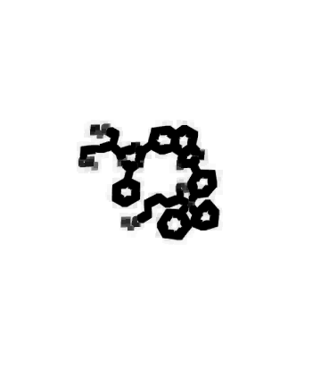 C=C/C=C\C=C(/C)[Si](c1ccccc1)(c1ccccc1)c1cccc(-c2nc3ccc4ccc(-c5nc(/C(C=C)=C/C=C\C)nc(-c6ccccc6)n5)cc4c3s2)c1